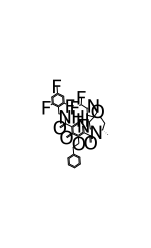 C[C@H]1CC[C@]2(CC(C(F)F)=NO2)[C@H]2CN1C(=O)c1c(OCc3ccccc3)c(=O)c(C(=O)NCc3c(F)cc(F)cc3F)cn12